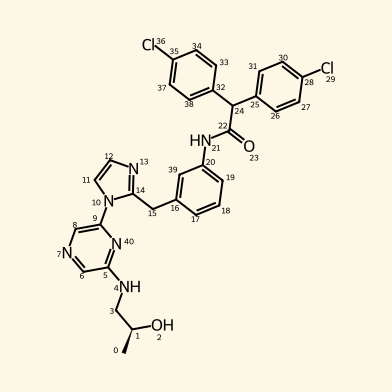 C[C@H](O)CNc1cncc(-n2ccnc2Cc2cccc(NC(=O)C(c3ccc(Cl)cc3)c3ccc(Cl)cc3)c2)n1